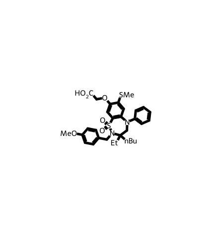 CCCCC1(CC)CN(c2ccccc2)c2cc(SC)c(OCC(=O)O)cc2S(=O)(=O)N1Cc1ccc(OC)cc1